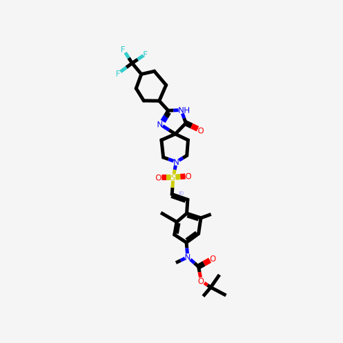 Cc1cc(N(C)C(=O)OC(C)(C)C)cc(C)c1/C=C/S(=O)(=O)N1CCC2(CC1)N=C(C1CCC(C(F)(F)F)CC1)NC2=O